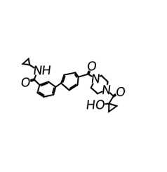 O=C(NC1CC1)c1cccc(-c2ccc(C(=O)N3CCN(C(=O)C4(O)CC4)CC3)cc2)c1